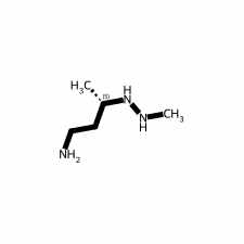 CNN[C@@H](C)CCN